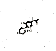 CC(=O)Nc1cnc(N2CCNCC2)c(Cl)c1.Cl